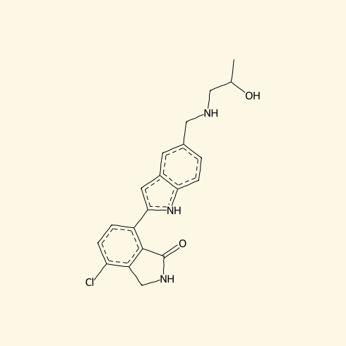 CC(O)CNCc1ccc2[nH]c(-c3ccc(Cl)c4c3C(=O)NC4)cc2c1